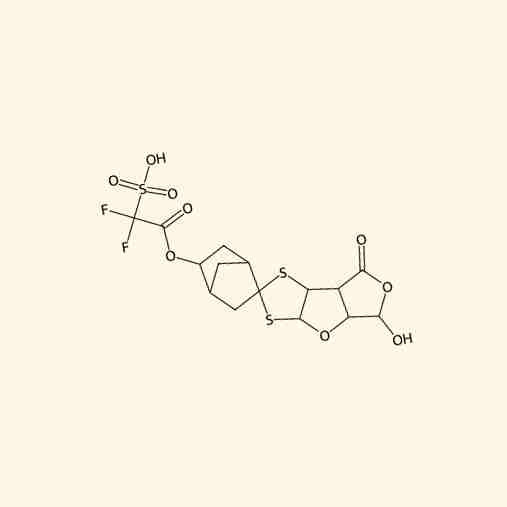 O=C1OC(O)C2OC3SC4(CC5CC4CC5OC(=O)C(F)(F)S(=O)(=O)O)SC3C12